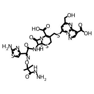 CC(C)(ON=C(C(=O)NC1C(=O)N2C(C(=O)O)=C(CSc3cc(CO)nc4c(C(=O)O)cnn34)CS[C@@H]12)c1csc(N)n1)C(=O)NN